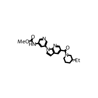 CC[C@H]1CCCN(C(=O)c2cnc3c(ccn3-c3cncc(NC(=O)OC)c3)c2)C1